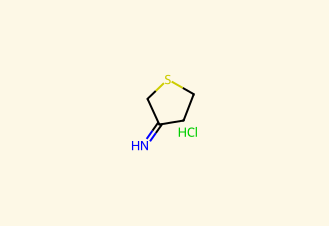 Cl.N=C1CCSC1